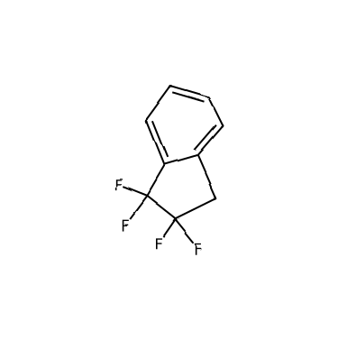 FC1(F)Cc2ccccc2C1(F)F